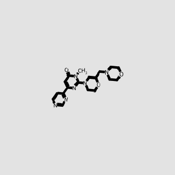 Cn1c(N2CCOC(CN3CCOCC3)C2)nc(-c2ccncn2)cc1=O